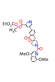 CCOC(=O)OC(C)OC(=O)c1cncc(-c2ccc3c(c2)C(=O)OC2(CCN(C(=O)c4cc(OC)c5cccc(OC)c5n4)CC2)C3)c1